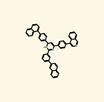 C1=C(c2ccc(-c3cncc4ccccc34)cc2)N=C(c2cccc(-c3ccc4ccccc4c3)c2)NC1c1ccc(-c2cccc3ccccc23)cc1